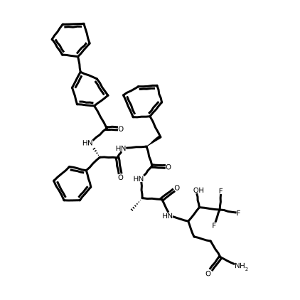 C[C@H](NC(=O)[C@H](Cc1ccccc1)NC(=O)[C@@H](NC(=O)c1ccc(-c2ccccc2)cc1)c1ccccc1)C(=O)NC(CCC(N)=O)C(O)C(F)(F)F